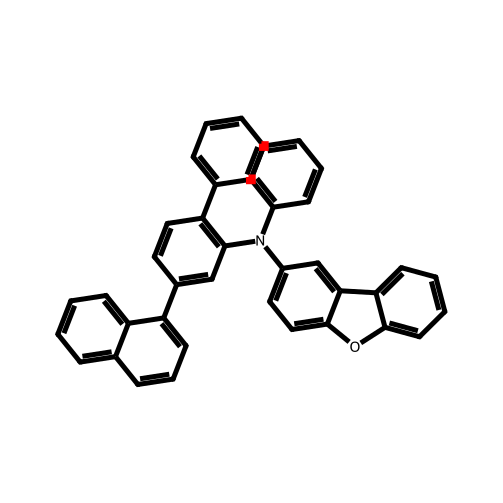 c1ccc(-c2ccc(-c3cccc4ccccc34)cc2N(c2ccccc2)c2ccc3oc4ccccc4c3c2)cc1